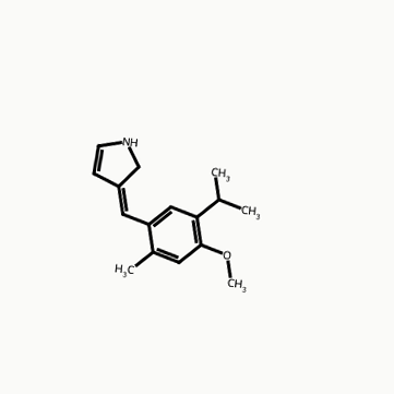 COc1cc(C)c(C=C2C=CNC2)cc1C(C)C